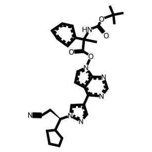 CC(C)(C)OC(=O)NC(C)(C(=O)On1ccc2c(-c3cnn([C@H](CC#N)C4CCCC4)c3)ncnc21)c1ccccc1